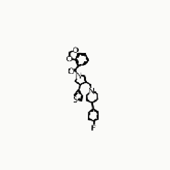 O=C(c1cccc2c1OCO2)N1CC(CN2CCC(c3ccc(F)cc3)CC2)C(c2ccsc2)C1